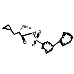 N[C@@H](CC1CC1)C(=O)NS(=O)(=O)c1cccc(-c2ccccc2)c1